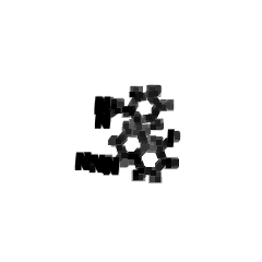 [N-]=[N+]=Nc1cccc2c(I)cccc12.c1ccc(C2N=N2)cc1